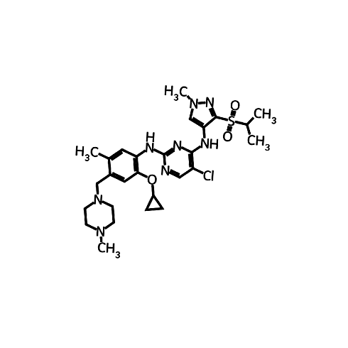 Cc1cc(Nc2ncc(Cl)c(Nc3cn(C)nc3S(=O)(=O)C(C)C)n2)c(OC2CC2)cc1CN1CCN(C)CC1